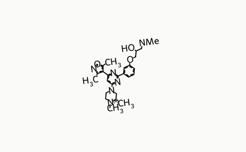 CNCC(O)COc1cccc(-c2nc(-c3c(C)noc3C)cc(N3CCN(C)[C@H](C)C3)n2)c1